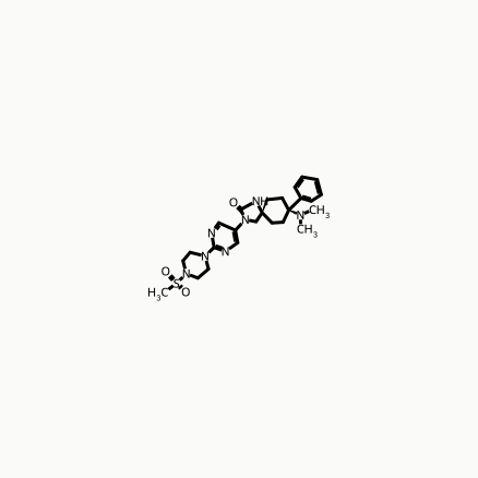 CN(C)[C@]1(c2ccccc2)CC[C@@]2(CC1)CN(c1cnc(N3CCN(S(C)(=O)=O)CC3)nc1)C(=O)N2